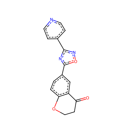 O=C1CCOc2ccc(-c3nc(-c4ccncc4)no3)cc21